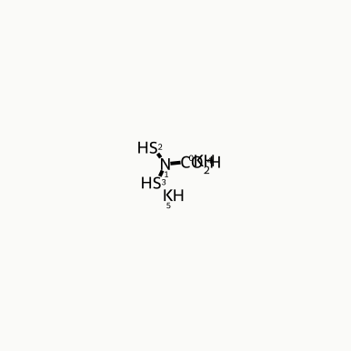 O=C(O)N(S)S.[KH].[KH]